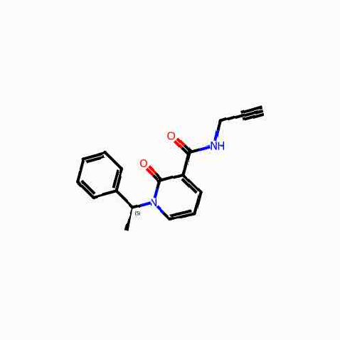 C#CCNC(=O)c1cccn([C@@H](C)c2ccccc2)c1=O